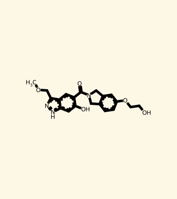 COCc1n[nH]c2cc(O)c(C(=O)N3Cc4ccc(OCCO)cc4C3)cc12